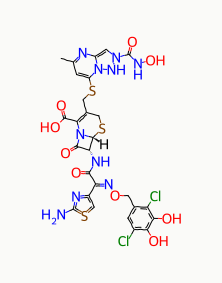 CC1=NC2=CN(C(=O)NO)NN2C(SCC2=C(C(=O)O)N3C(=O)[C@@H](NC(=O)C(=NOCc4cc(Cl)c(O)c(O)c4Cl)c4csc(N)n4)[C@H]3SC2)=C1